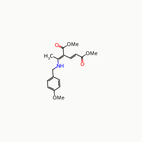 COC(=O)/C=C/C(C(=O)OC)=C(/C)NCc1ccc(OC)cc1